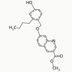 CCCCc1cc(O)ccc1COc1ccc2cc(C(=O)OC)cnc2c1